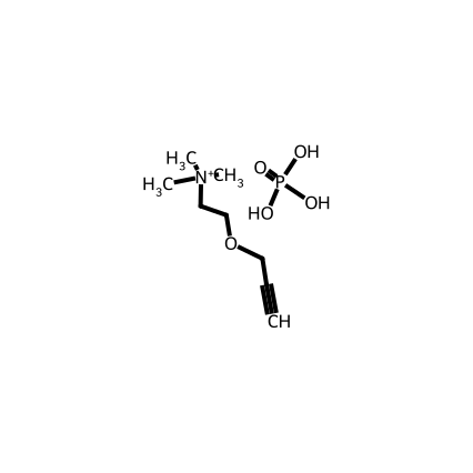 C#CCOCC[N+](C)(C)C.O=P(O)(O)O